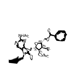 C#CCn1c(=O)n([C@@H]2O[C@H](COC(=O)c3ccccc3)[C@@H](F)[C@H]2OC(C)=O)c2nc(NC(C)=O)ncc21